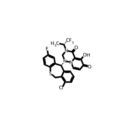 C[C@@H](N1CN([C@H]2c3cc(F)ccc3SCc3c(Cl)cccc32)n2ccc(=O)c(O)c2C1=O)C(F)(F)F